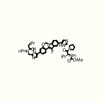 CCCN(Cc1ncc(-c2ccc3c(c2)OCn2c-3c(F)c3cc(-c4cnc([C@@H]5CCCN5C(=O)[C@@H](NC(=O)OC)C(C)C)[nH]4)ccc32)[nH]1)C(=O)CC(C)C